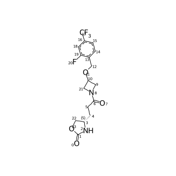 O=C1N[C@@H](CCC(=O)N2CC(OCc3ccc(C(F)(F)F)cc3F)C2)CO1